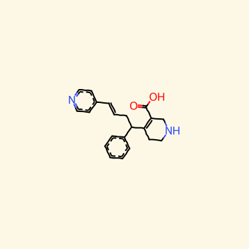 O=C(O)C1=C(C(CC=Cc2ccncc2)c2ccccc2)CCNC1